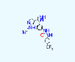 CN(C)CCNC1=NCCC(c2c[nH]nc2-c2cccc(NC(=O)Nc3ccc(C(F)(F)F)cc3)c2)=C1